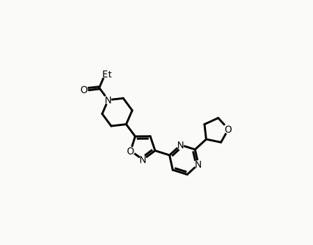 CCC(=O)N1CCC(c2cc(-c3ccnc(C4CCOC4)n3)no2)CC1